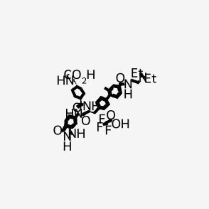 CCN(CC)CCNC(=O)c1ccc(-c2ccc(C[C@H](NC(=O)[C@H]3CC[C@H](CNC(=O)O)CC3)C(=O)Nc3ccc4c(=O)[nH][nH]c4c3)cc2)c(C)c1.O=C(O)C(F)(F)F